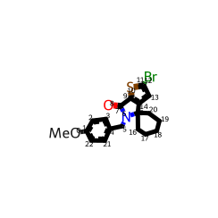 COc1ccc(CN2C(=O)c3sc(Br)cc3C23CCCCC3)cc1